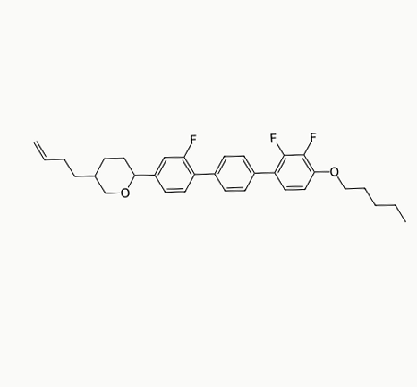 C=CCCC1CCC(c2ccc(-c3ccc(-c4ccc(OCCCCC)c(F)c4F)cc3)c(F)c2)OC1